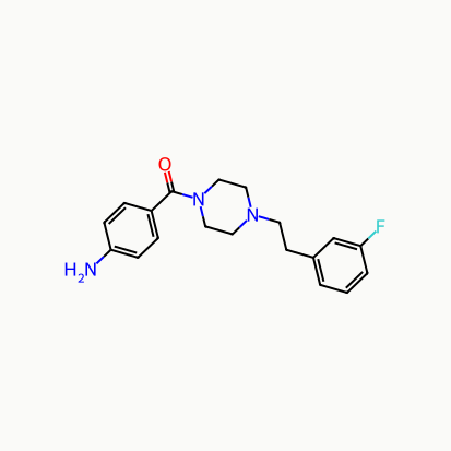 Nc1ccc(C(=O)N2CCN(CCc3cccc(F)c3)CC2)cc1